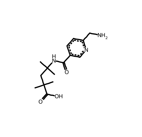 CC(C)(CC(C)(C)C(=O)O)NC(=O)c1ccc(CN)nc1